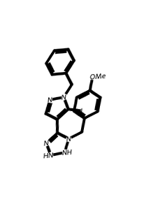 COc1ccc(CN2NNN=C2c2cnn(Cc3ccccc3)c2I)cc1